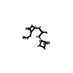 CC(C)CC1NCC1CC(C)C[C@H]1CCN1